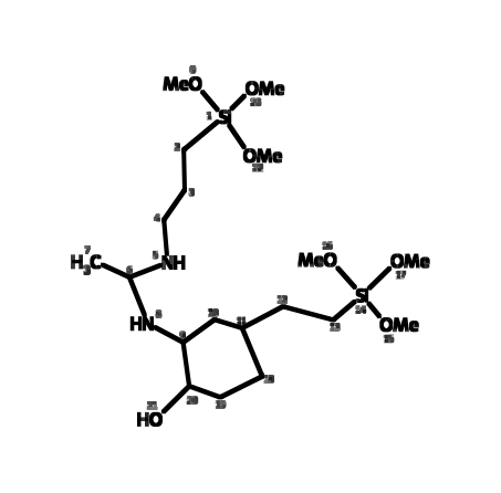 CO[Si](CCCNC(C)NC1CC(CC[Si](OC)(OC)OC)CCC1O)(OC)OC